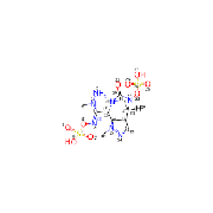 CN(N)/C(=N\OS(=O)(=O)O)[C@@H]1c2c(cnn2C)[C@@H]2CN1C(=O)N2OS(=O)(=O)O